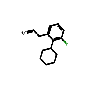 C=CCc1cccc(F)c1C1CCCCC1